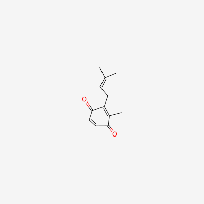 CC(C)=CCC1=C(C)C(=O)C=CC1=O